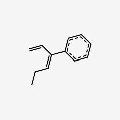 [CH2]CC=C(C=C)c1ccccc1